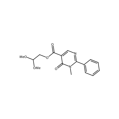 COC(COC(=O)c1cnc(-c2ccccc2)n(C)c1=O)OC